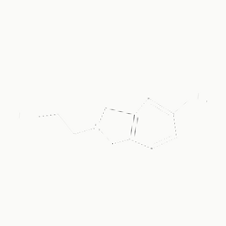 CCCN1Cc2ccc(C)cc2C1